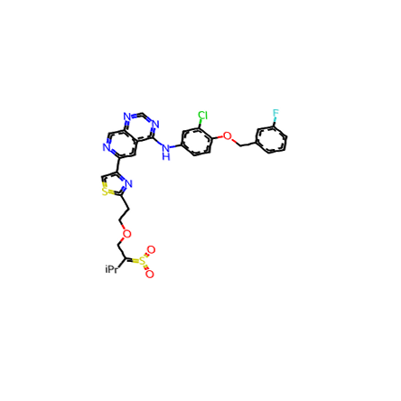 CC(C)C(COCCc1nc(-c2cc3c(Nc4ccc(OCc5cccc(F)c5)c(Cl)c4)ncnc3cn2)cs1)=S(=O)=O